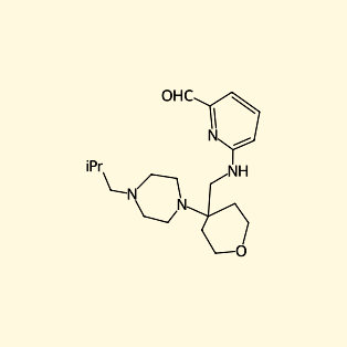 CC(C)CN1CCN(C2(CNc3cccc(C=O)n3)CCOCC2)CC1